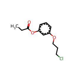 CCC(=O)Oc1cccc(OCCCCl)c1